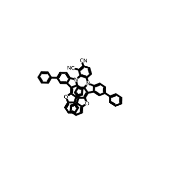 N#Cc1ccc(-n2c3ccc(-c4ccccc4)cc3c3c4oc5ccccc5c4ccc32)c(-n2c3ccc(-c4ccccc4)cc3c3c4oc5ccccc5c4ccc32)c1C#N